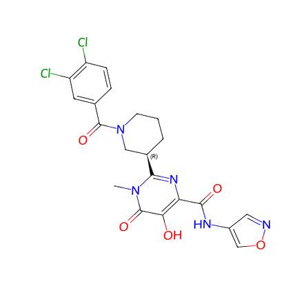 Cn1c([C@@H]2CCCN(C(=O)c3ccc(Cl)c(Cl)c3)C2)nc(C(=O)Nc2cnoc2)c(O)c1=O